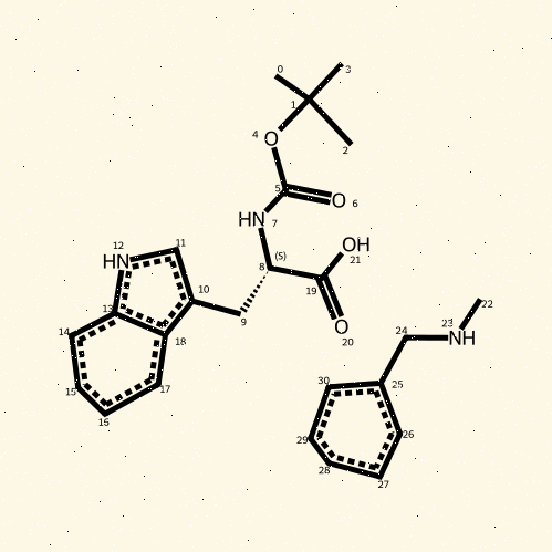 CC(C)(C)OC(=O)N[C@@H](Cc1c[nH]c2ccccc12)C(=O)O.CNCc1ccccc1